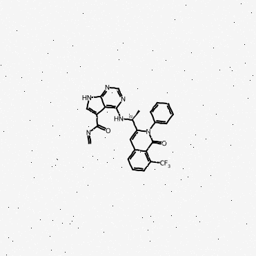 C=NC(=O)c1c[nH]c2ncnc(N[C@@H](C)c3cc4cccc(C(F)(F)F)c4c(=O)n3-c3ccccc3)c12